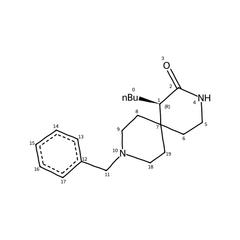 CCCC[C@H]1C(=O)NCCC12CCN(Cc1ccccc1)CC2